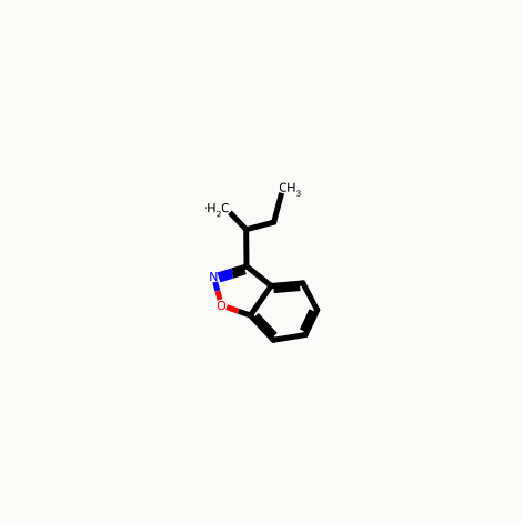 [CH2]C(CC)c1noc2ccccc12